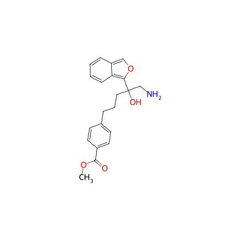 COC(=O)c1ccc(CCCC(O)(CN)c2occ3ccccc23)cc1